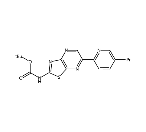 CC(C)c1ccc(-c2cnc3nc(NC(=O)OC(C)(C)C)sc3n2)nc1